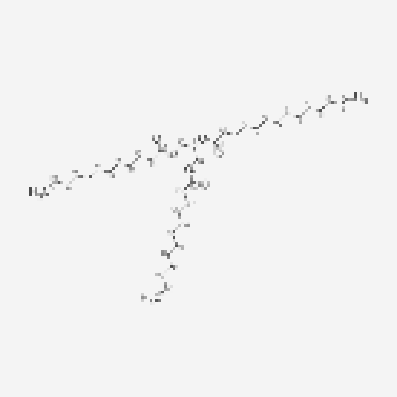 CCCCCCCCCCCCCC(=O)OC(COC(=O)CCCCCCCCCCC)COC(=O)CCCCCCCCCCC